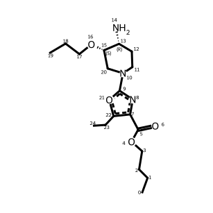 CCCCOC(=O)c1nc(N2CC[C@@H](N)[C@@H](OCCC)C2)oc1CC